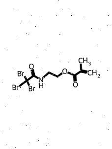 C=C(C)C(=O)OCCNC(=O)C(Br)(Br)Br